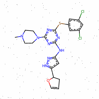 CN1CCN(c2nc(Nc3cc(C4CC=CO4)[nH]n3)nc(Sc3cc(Cl)cc(Cl)c3)n2)CC1